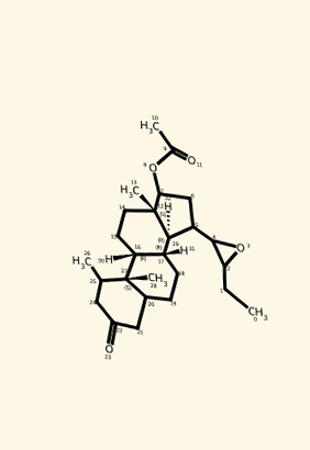 CCC1OC1C1CC(OC(C)=O)[C@@]2(C)CC[C@@H]3[C@@H](CCC4CC(=O)CC(C)[C@@]43C)[C@H]12